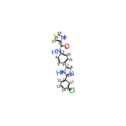 O=C(Nc1ccc(-c2cnc(-c3cccc(Cl)c3)[nH]2)cc1)c1cscn1